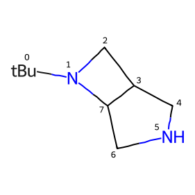 CC(C)(C)N1CC2CNCC21